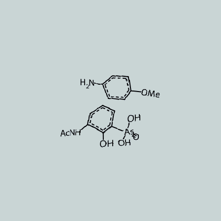 CC(=O)Nc1cccc([As](=O)(O)O)c1O.COc1ccc(N)cc1